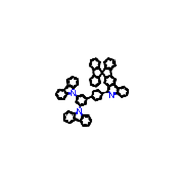 c1ccc2c(c1)-c1ccccc1C21c2ccccc2-c2cc3c(cc21)c(-c1ccc(-c2cc(-n4c5ccccc5c5ccccc54)cc(-n4c5ccccc5c5ccccc54)c2)cc1)nc1ccccc13